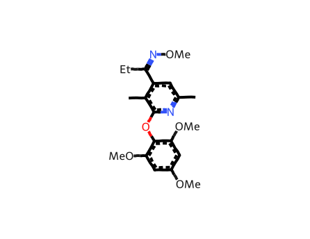 CC/C(=N/OC)c1cc(C)nc(Oc2c(OC)cc(OC)cc2OC)c1C